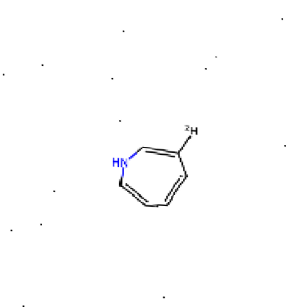 [2H]C1=CNC=CC=C1